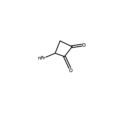 CCCC1CC(=O)C1=O